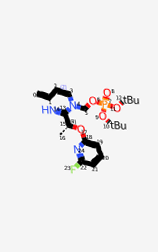 C=C/C=C\N(COP(=O)(OC(C)(C)C)OC(C)(C)C)C(=N)[C@@H](C)Oc1cccc(F)n1